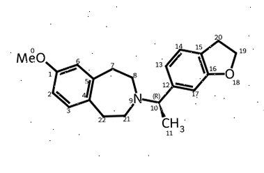 COc1ccc2c(c1)CCN([C@H](C)c1ccc3c(c1)OCC3)CC2